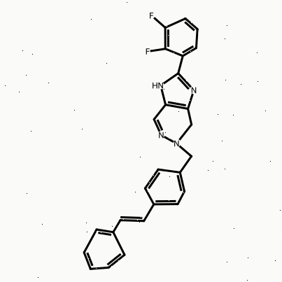 Fc1cccc(-c2nc3c([nH]2)C=NN(Cc2ccc(C=Cc4ccccc4)cc2)C3)c1F